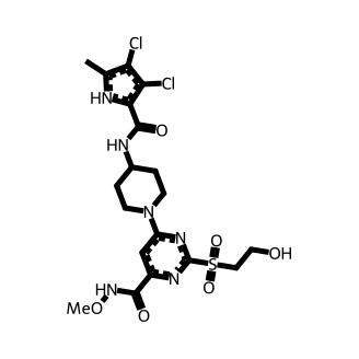 CONC(=O)c1cc(N2CCC(NC(=O)c3[nH]c(C)c(Cl)c3Cl)CC2)nc(S(=O)(=O)CCO)n1